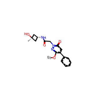 CCOc1nn(CC(=O)N[C@H]2C[C@](C)(O)C2)c(=O)cc1-c1ccccc1